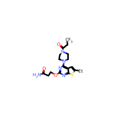 CCc1cc2c(N3CCN(C(=O)CC(F)(F)F)CC3)nc(OCCC(N)=O)nc2s1